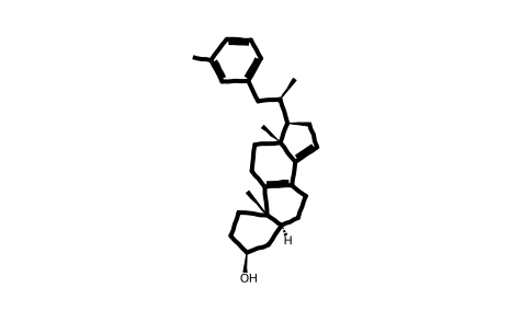 Cc1cccc(C[C@@H](C)[C@H]2CC=C3C4=C(CC[C@@]32C)[C@@]2(C)CC[C@H](O)C[C@@H]2CC4)c1